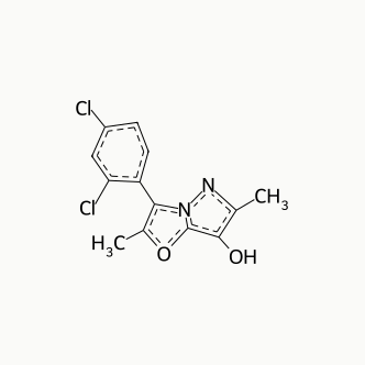 Cc1nn2c(-c3ccc(Cl)cc3Cl)c(C)oc2c1O